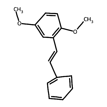 COc1ccc(OC)c(C=Cc2ccccc2)c1